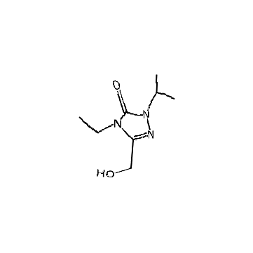 CCn1c(CO)nn(C(C)C)c1=O